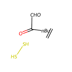 C=C.CCCCC(=O)C=O.SS